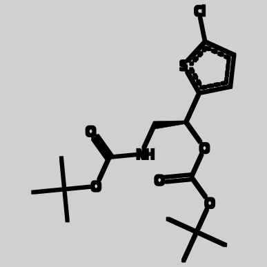 CC(C)(C)OC(=O)NC[C@H](OC(=O)OC(C)(C)C)c1ccc(Cl)s1